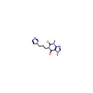 Cn1cnc2c1c(=O)n(CCCn1ccnc1)c(=O)n2C